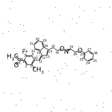 Cc1cc([S+](C)[O-])c(F)cc1/C=C1/C=C(CCON=CCOc2ccccc2)c2ccccc21